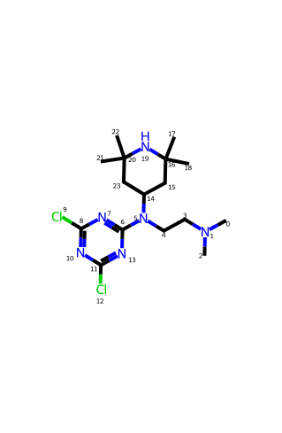 CN(C)CCN(c1nc(Cl)nc(Cl)n1)C1CC(C)(C)NC(C)(C)C1